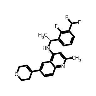 Cc1cc(N[C@H](C)c2cccc(C(F)F)c2F)c2cc(C3=CCOCC3)ccc2n1